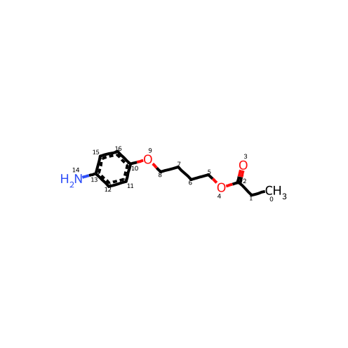 CCC(=O)OCCCCOc1ccc(N)cc1